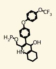 OC1C2=C(CCCC2)NC(COP)=C1c1ccc(Oc2ccc(OC(F)(F)F)cc2)cc1